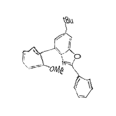 COc1ccccc1-c1cc(C(C)(C)C)cc2oc(-c3ccccc3)nc12